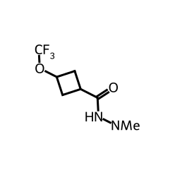 CNNC(=O)C1CC(OC(F)(F)F)C1